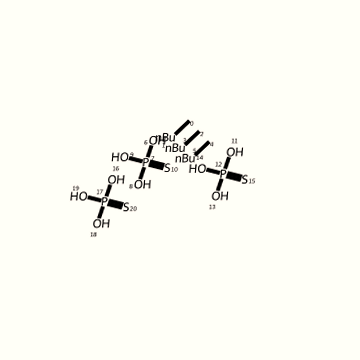 CCCCC.CCCCC.CCCCC.OP(O)(O)=S.OP(O)(O)=S.OP(O)(O)=S